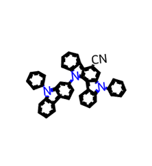 N#Cc1cc2c(c3ccccc3n2-c2ccccc2)c2c1c1ccccc1n2-c1ccc2c3ccccc3n(-c3ccccc3)c2c1